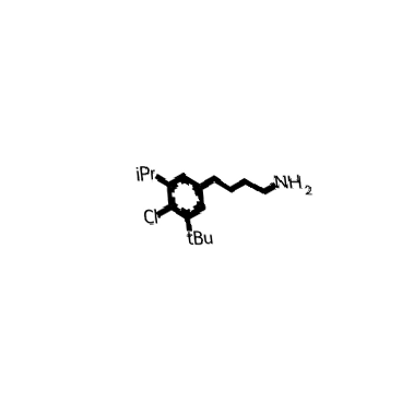 CC(C)c1cc(CCCCN)cc(C(C)(C)C)c1Cl